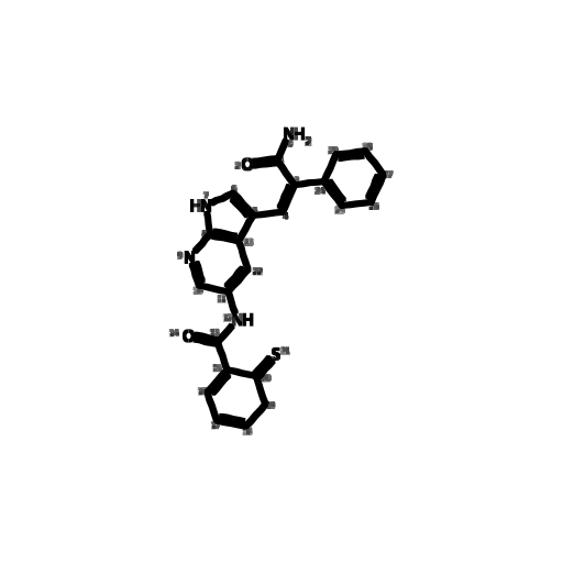 NC(=O)C(=Cc1c[nH]c2ncc(NC(=O)C3=CC=CCC3=S)cc12)c1ccccc1